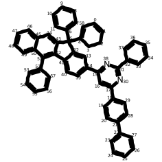 C1=CCCC(C2(c3ccccc3)c3cc(-c4cc(-c5ccc(-c6ccccc6)cc5)nc(-c5ccccc5)n4)ccc3-c3c2cc2ccccc2c3-c2ccccc2)=C1